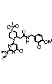 COc1ccc(CNC(=O)CC2CN(S(C)(=O)=O)CCN2c2cc(Cl)nc(-n3ccnc3)n2)cc1Cl